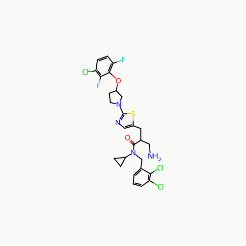 NCC(Cc1cnc(N2CCC(Oc3c(F)ccc(Cl)c3F)C2)s1)C(=O)N(Cc1cccc(Cl)c1Cl)C1CC1